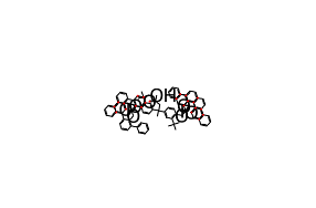 CC(C)(C)c1cc(C(C)(CC(=O)O)c2ccc(OP(Oc3c(-c4ccccc4)cccc3-c3ccccc3)Oc3c(-c4ccccc4)cccc3-c3ccccc3)c(C(C)(C)C)c2)ccc1OP(Oc1c(-c2ccccc2)cccc1-c1ccccc1)Oc1c(-c2ccccc2)cccc1-c1ccccc1